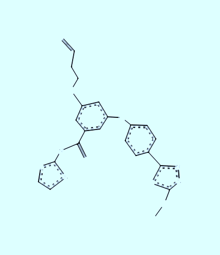 C=CCCOc1cc(Oc2ccc(-c3nnc(CC)o3)cc2)cc(C(=O)Nc2nccs2)c1